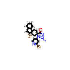 NC(=O)C1(Nc2ccnc(Br)c2)CCC2(CC1)C(Br)=Cc1ccccc12